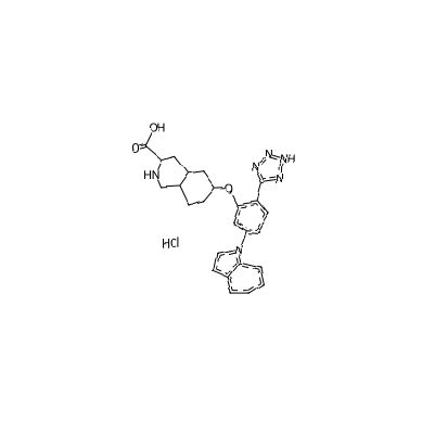 Cl.O=C(O)C1CC2CC(Oc3cc(-n4ccc5ccccc54)ccc3-c3nn[nH]n3)CCC2CN1